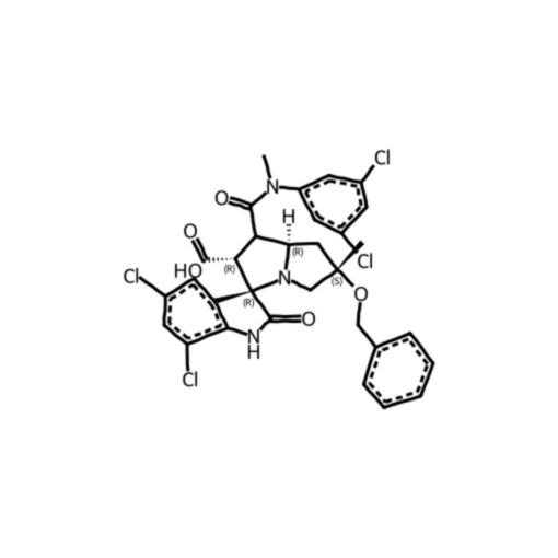 CN(C(=O)C1[C@H]2C[C@](C)(OCc3ccccc3)CN2[C@]2(C(=O)Nc3c(Cl)cc(Cl)cc32)[C@@H]1C(=O)O)c1cc(Cl)cc(Cl)c1